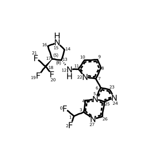 FC(F)c1cn2c(-c3cccc(N[C@H]4CNC[C@@H]4C(F)(F)F)n3)cnc2cn1